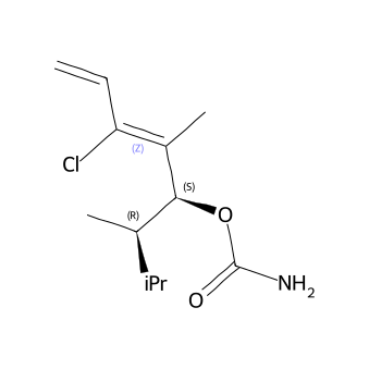 C=C/C(Cl)=C(\C)[C@@H](OC(N)=O)[C@H](C)C(C)C